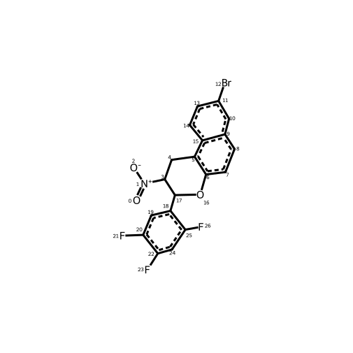 O=[N+]([O-])C1Cc2c(ccc3cc(Br)ccc23)OC1c1cc(F)c(F)cc1F